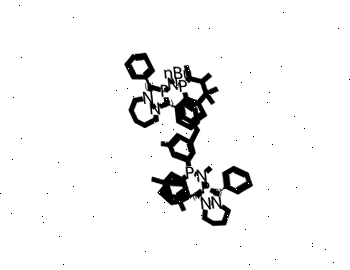 CCCCN(P1c2ccc(Cc3cc(C)cc(P(c4cc(C)cc(C)c4)N(C)P4[C@H](c5ccccc5)N5CCCCN5[C@H]4c4ccccc4)c3)cc2C(C)(C)C(C)C1C)P1[C@H](c2ccccc2)N2CCCCCN2[C@H]1c1ccccc1